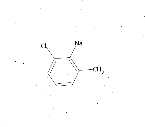 Cc1cccc(Cl)[c]1[Na]